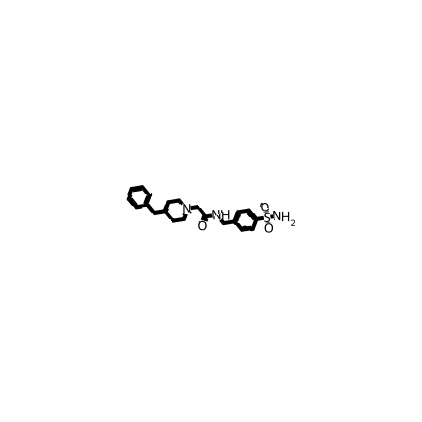 NS(=O)(=O)c1ccc(CNC(=O)CN2CCC(Cc3ccccc3)CC2)cc1